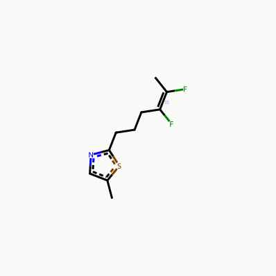 C/C(F)=C(/F)CCCc1ncc(C)s1